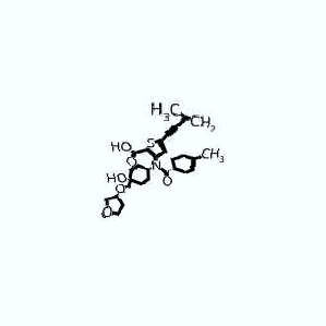 CC1=CC[C@H](C(=O)N(c2cc(C#CC(C)C)sc2C(=O)O)[C@H]2CC[C@](O)(CO[C@H]3CCOC3)CC2)CC1